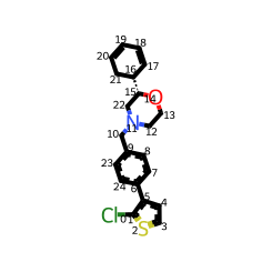 Clc1sccc1-c1ccc(CN2CCO[C@@H](C3C=CC=CC3)C2)cc1